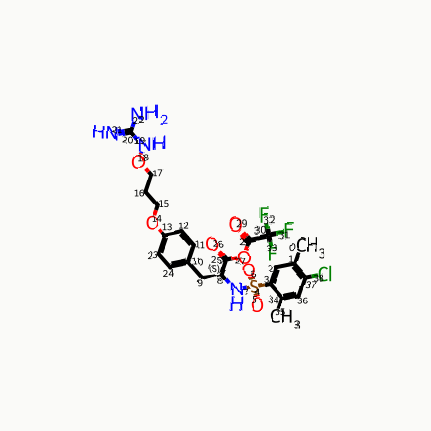 Cc1cc(S(=O)(=O)N[C@@H](Cc2ccc(OCCCONC(=N)N)cc2)C(=O)OC(=O)C(F)(F)F)c(C)cc1Cl